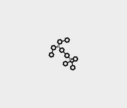 c1ccc(-c2cccc(N(c3ccc(-c4ccc(-n5c(-c6ccccc6)c(-c6ccccc6)c6ccccc65)cc4)cc3)c3cccc(-c4ccccc4)c3)c2)cc1